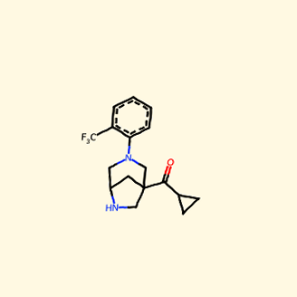 O=C(C1CC1)C12CNC(CN(c3ccccc3C(F)(F)F)C1)C2